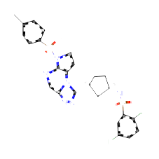 Cc1ccc(S(=O)(=O)n2ccc3c2ncc2nnc([C@@H]4CC[C@H](NS(=O)(=O)c5cc(F)ccc5F)C4)n23)cc1